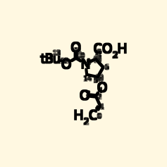 C=CC(=O)O[C@H]1C[C@@H](C(=O)O)N(C(=O)OC(C)(C)C)C1